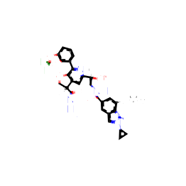 COc1cc(C(=O)NC[C@](O)(c2cc3c(c(-c4cccc5c4OC(F)(F)O5)n2)OC[C@]3(C)C(N)=O)C(F)(F)F)cc2cn(C3CC3)nc12